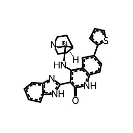 O=c1[nH]c2ccc(-c3cccs3)cc2c(N[C@H]2CN3CCC2CC3)c1-c1nc2ccccc2[nH]1